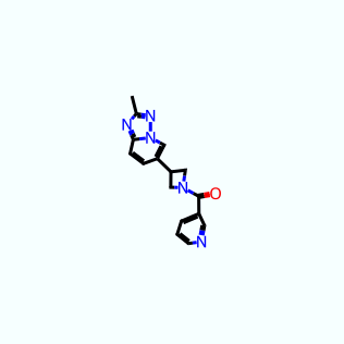 Cc1nc2ccc(C3CN(C(=O)c4cccnc4)C3)cn2n1